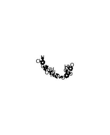 CC1(C)C(NC(=O)c2cnc(N3CCN(CCOc4ccc5c(c4)C(=O)N(C4CCC(=O)NC4=O)C5=O)CC3)nc2)C(C)(C)C1Oc1ccc(C#N)c(Cl)c1